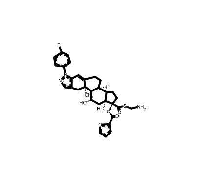 C[C@]12Cc3cnn(-c4ccc(F)cc4)c3C=C1CC[C@@H]1C2[C@@H](O)C[C@@]2(C)C1CC[C@]2(OC(=O)c1ccco1)C(=O)SCN